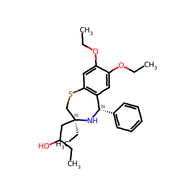 CCOc1cc2c(cc1OCC)[C@H](c1ccccc1)N[C@@](CC)(CC(O)CC)CS2